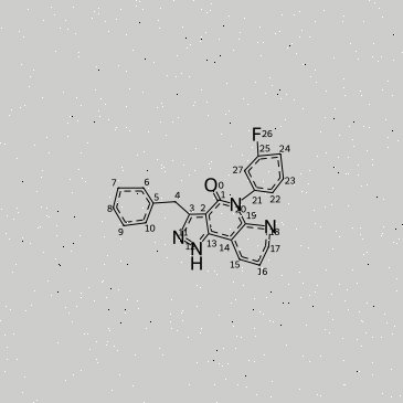 O=c1c2c(Cc3ccccc3)n[nH]c2c2cccnc2n1-c1cccc(F)c1